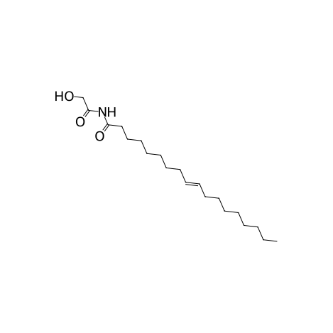 CCCCCCCCC=CCCCCCCCC(=O)NC(=O)CO